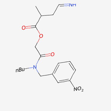 CCCCN(Cc1cccc([N+](=O)[O-])c1)C(=O)COC(=O)C(C)CC=N